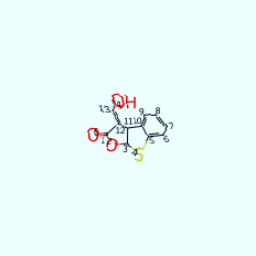 O=C1OC2Sc3ccccc3C2/C1=C\O